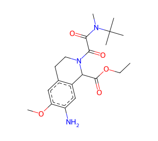 CCOC(=O)C1c2cc(N)c(OC)cc2CCN1C(=O)C(=O)N(C)C(C)(C)C